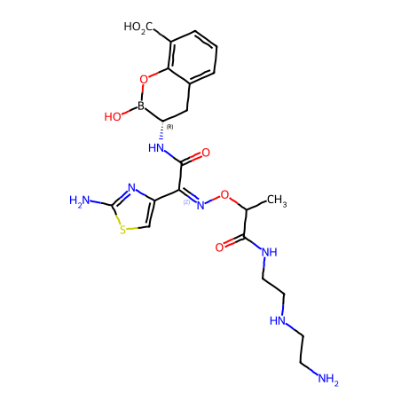 CC(O/N=C(\C(=O)N[C@H]1Cc2cccc(C(=O)O)c2OB1O)c1csc(N)n1)C(=O)NCCNCCN